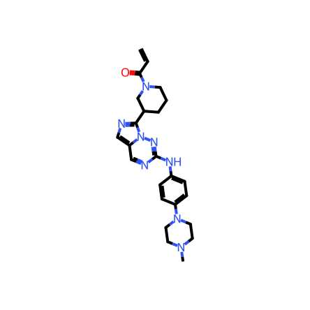 C=CC(=O)N1CCCC(c2ncc3cnc(Nc4ccc(N5CCN(C)CC5)cc4)nn23)C1